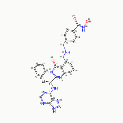 CC[C@H](Nc1ncnc2[nH]cnc12)c1nc2cccc(CNCc3ccc(C(=O)NO)cc3)c2c(=O)n1-c1ccccc1